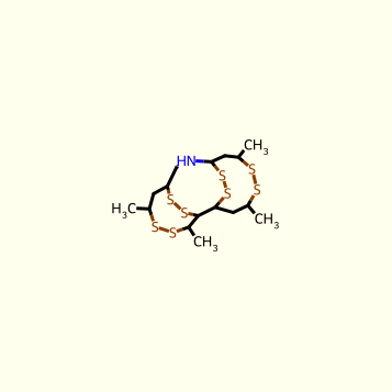 CC1CC2NCC3CC(C)SSC(C)C(SS3)C(CC(C)SS1)SS2